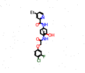 CCc1ccnc(C(=O)NC23CCC(NC(=O)COc4ccc(Cl)c(F)c4)(CC2)C(O)C3)c1